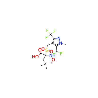 Cn1nc(C(F)(F)F)c(CS(=O)(=O)C2(C(=O)O)CC(C)(C)CON2)c1C(F)F